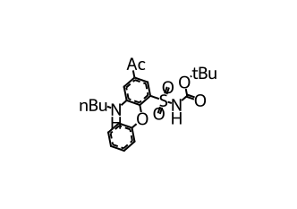 CCCCNc1cc(C(C)=O)cc(S(=O)(=O)NC(=O)OC(C)(C)C)c1Oc1ccccc1